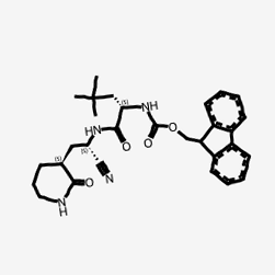 CC(C)(C)C[C@H](NC(=O)OCC1c2ccccc2-c2ccccc21)C(=O)N[C@H](C#N)C[C@@H]1CCCNC1=O